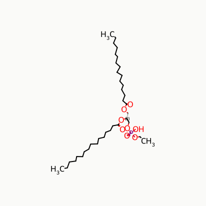 CCCCCCCCCCCCCCCC(=O)OC[C@H](COP(=O)(O)OCC)OC(=O)CCCCCCCCCCCCCCC